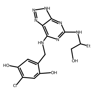 CCC(CO)Nc1nc(NCc2cc(O)c(Cl)cc2O)c2nn[nH]c2n1